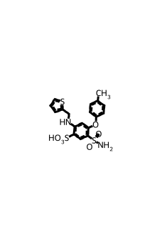 Cc1ccc(Oc2cc(NCc3cccs3)c(S(=O)(=O)O)cc2S(N)(=O)=O)cc1